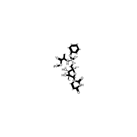 CC(C)OC(=O)C(C)N[P@@](=O)(OC[C@@]1(F)OC(n2ccc(=O)[nH]c2=O)[C@](C)(O)[C@@H]1O)Oc1ccccc1